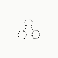 c1ccc(-c2ccccc2N2CCCCC2)cc1